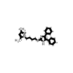 Cc1cc(C)n(CCCCSc2nc(-c3ccccc3)c(-c3ccccc3)[nH]2)n1